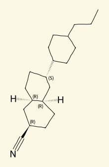 CCCC1CCC([C@H]2CC[C@@H]3C[C@H](C#N)CC[C@@H]3C2)CC1